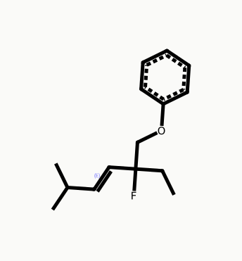 CCC(F)(/C=C/C(C)C)COc1ccccc1